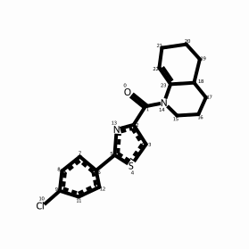 O=C(c1csc(-c2ccc(Cl)cc2)n1)N1CCCC2CCCC=C21